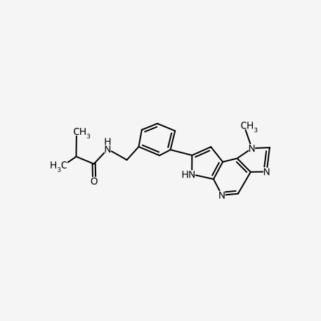 CC(C)C(=O)NCc1cccc(-c2cc3c(ncc4ncn(C)c43)[nH]2)c1